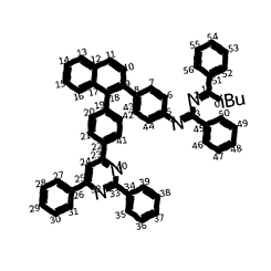 CCC(C)/C(=N\C(=N/c1ccc(-c2ccc3ccccc3c2-c2ccc(-c3cc(-c4ccccc4)nc(-c4ccccc4)n3)cc2)cc1)c1ccccc1)c1ccccc1